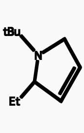 CCC1C=CCN1C(C)(C)C